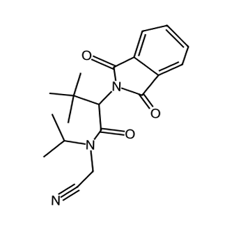 CC(C)N(CC#N)C(=O)C(N1C(=O)c2ccccc2C1=O)C(C)(C)C